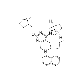 CCCCc1cccc2cccc(N3CCc4c(nc(OCC5CCCN5C)nc4N4C[C@H]5CC[C@@H](C4)N5)C3)c12